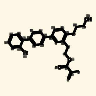 C=C(C)C(=O)OCCc1cc(-c2ccc(-c3ccccc3CC)cc2)ccc1CCCO